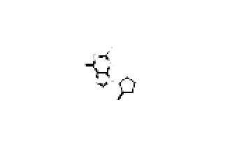 C=C1[C@H](CC)[C@@H](O)C[C@@H]1n1cnc2c(=O)[nH]c(N)nc21